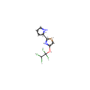 FC(F)C(F)(F)Oc1csc(-c2ccc[nH]2)n1